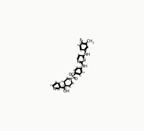 Cc1cc(Nc2ccnc(Nc3ccc(S(=O)(=O)N4CCC(C(O)c5cccnc5)CC4)cc3)n2)ccc1F